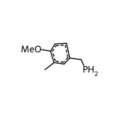 COc1ccc(CP)cc1C